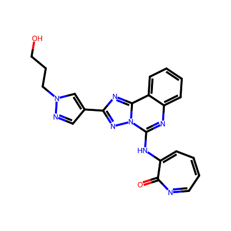 O=c1nccccc1Nc1nc2ccccc2c2nc(-c3cnn(CCCO)c3)nn12